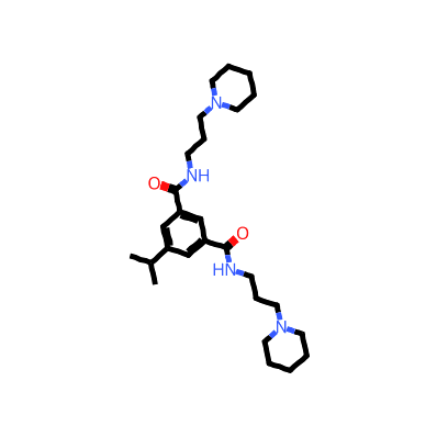 CC(C)c1cc(C(=O)NCCCN2CCCCC2)cc(C(=O)NCCCN2CCCCC2)c1